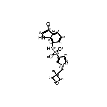 CC1(Cn2cc(S(=O)(=O)Nc3cccc4c(Cl)c[nH]c34)cn2)COC1